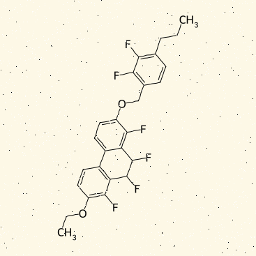 CCCc1ccc(COc2ccc3c(c2F)C(F)C(F)c2c-3ccc(OCC)c2F)c(F)c1F